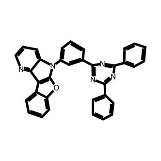 c1ccc(-c2nc(-c3ccccc3)nc(-c3cccc(-n4c5cccnc5c5c6ccccc6oc54)c3)n2)cc1